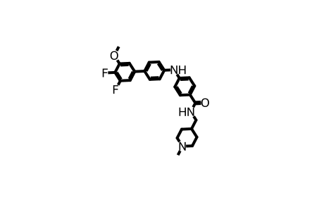 COc1cc(-c2ccc(Nc3ccc(C(=O)NCC4CCN(C)CC4)cc3)cc2)cc(F)c1F